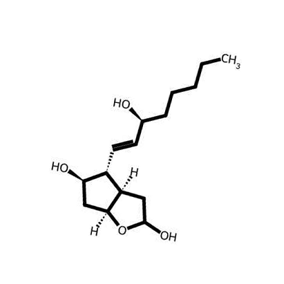 CCCCC[C@H](O)C=C[C@@H]1[C@H]2CC(O)O[C@H]2C[C@H]1O